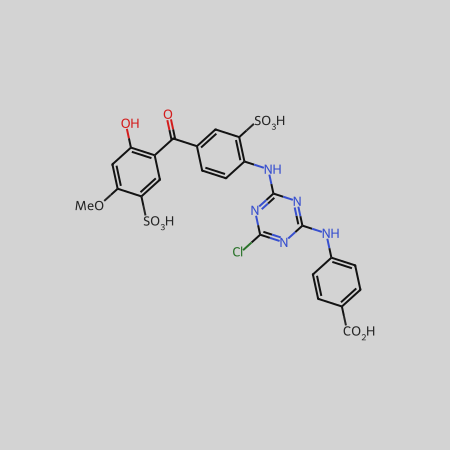 COc1cc(O)c(C(=O)c2ccc(Nc3nc(Cl)nc(Nc4ccc(C(=O)O)cc4)n3)c(S(=O)(=O)O)c2)cc1S(=O)(=O)O